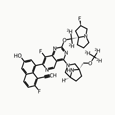 [2H]C([2H])([2H])OC[C@@]12CC[C@@H](CN(c3nc(OC([2H])([2H])[C@@]45CCCN4C[C@H](F)C5)nc4c(F)c(-c5cc(O)cc6ccc(F)c(C#C)c56)ncc34)C1)N2